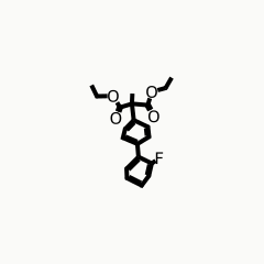 CCOC(=O)C(C)(C(=O)OCC)c1ccc(-c2ccccc2F)cc1